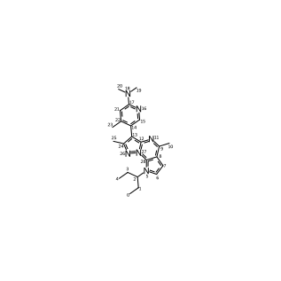 CCC(CC)n1ccc2c(C)nc3c(-c4cnc(N(C)C)cc4C)c(C)nn3c21